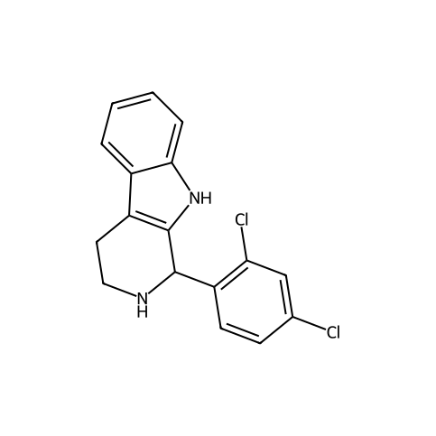 Clc1ccc(C2NCCc3c2[nH]c2ccccc32)c(Cl)c1